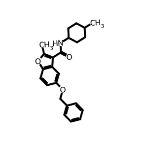 Cc1oc2ccc(OCc3ccccc3)cc2c1C(=O)NC1CCC(C)CC1